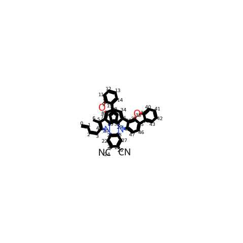 C=C/C=C\c1c(C)c2c3oc4ccccc4c3ccc2n1-c1cc(C#N)c(C#N)cc1-n1c2ccccc2c2c3oc4ccccc4c3ccc21